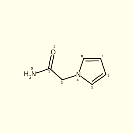 NC(=O)Cn1cccc1